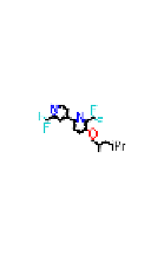 CC(C)CC(C)COc1ccc(-c2ccnc(C(F)F)c2)nc1C(F)F